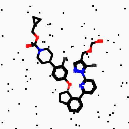 CCc1cc(O[C@H]2CCc3cccc(-c4cccc(-n5ncc(COCO)c5CC)n4)c32)ccc1C1CCN(C(=O)OCC2CC2)CC1